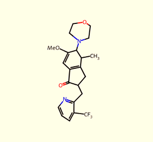 COC1=CC2=C(CC(Cc3ncccc3C(F)(F)F)C2=O)C(C)C1N1CCOCC1